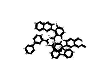 C=C/C=c1/cc2c3ccccc3n(-c3ccc4oc5cc6ccccc6cc5c4c3-c3nc(-c4cccc(-c5ccccc5)c4)nc(-c4cccc5c4sc4ccccc45)n3)c2c/c1=C/C